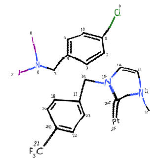 Clc1ccc(CN(I)I)cc1.Cn1ccn(Cc2ccc(C(F)(F)F)cc2)[c]1=[Pt]